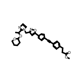 COC(=O)CCc1ccc(C#Cc2ccc(-c3cc(Cn4ccnc4C(C)OC4CCCCO4)no3)cc2)cc1